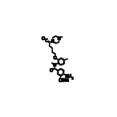 COc1cc(C(=O)N(C)c2ccc(C)cc2OCCCCC(=C=O)N2CCN(C)CC2)ccc1N